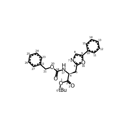 CC(C)(C)OC(=O)[C@H](Cc1ncc(-c2ccccc2)o1)NC(=O)OCc1ccccc1